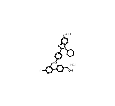 Cl.O=C(O)c1ccc2c(c1)nc(-c1ccc(OCc3cc(Cl)ccc3-c3ccc(CO)cc3)cc1)n2C1CCCCC1